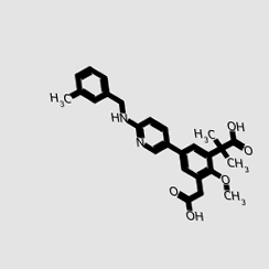 COc1c(CC(=O)O)cc(-c2ccc(NCc3cccc(C)c3)nc2)cc1C(C)(C)C(=O)O